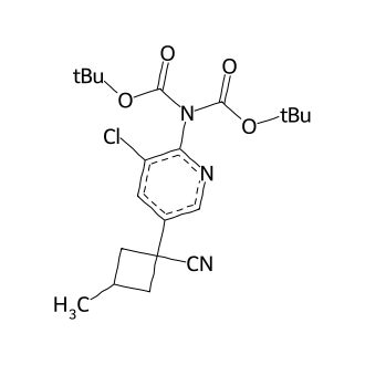 CC1CC(C#N)(c2cnc(N(C(=O)OC(C)(C)C)C(=O)OC(C)(C)C)c(Cl)c2)C1